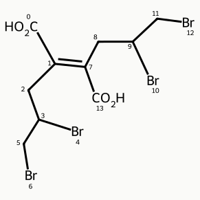 O=C(O)C(CC(Br)CBr)=C(CC(Br)CBr)C(=O)O